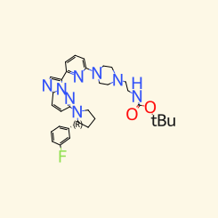 CC(C)(C)OC(=O)NCCN1CCN(c2cccc(-c3cnc4ccc(N5CCC[C@@H]5c5cccc(F)c5)nn34)n2)CC1